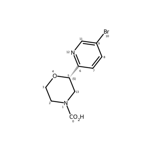 O=C(O)N1CCO[C@H](c2ccc(Br)cn2)C1